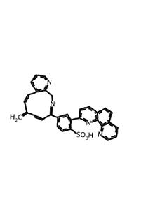 C=C1/C=C\C(c2ccc(S(=O)(=O)O)c(-c3ccc4ccc5cccnc5c4n3)c2)=N/Cc2ncccc2/C=C\1